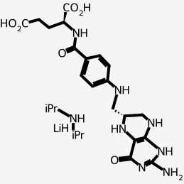 CC(C)NC(C)C.Nc1nc(=O)c2c([nH]1)NC[C@@H](CNc1ccc(C(=O)N[C@@H](CCC(=O)O)C(=O)O)cc1)N2.[LiH]